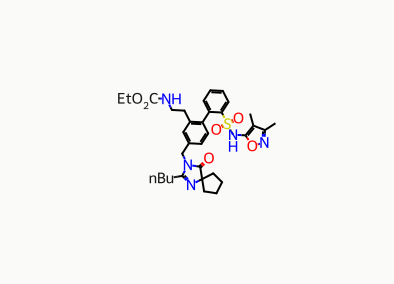 CCCCC1=NC2(CCCC2)C(=O)N1Cc1ccc(-c2ccccc2S(=O)(=O)Nc2onc(C)c2C)c(CCNC(=O)OCC)c1